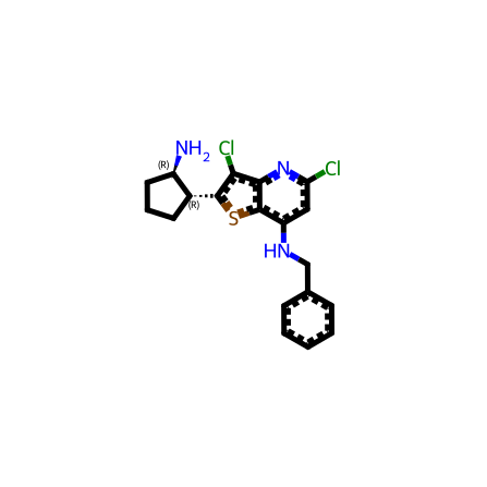 N[C@@H]1CCC[C@H]1c1sc2c(NCc3ccccc3)cc(Cl)nc2c1Cl